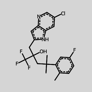 Cc1ccc(F)cc1C(C)(C)CC(O)(Cc1cc2ncc(Cl)cc2[nH]1)C(F)(F)F